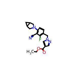 CCOC(=O)c1cnn(Cc2ccc(N3CC4CC4C3)c(C#N)c2F)c1